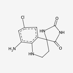 Nc1cc(Cl)cc2c1NCCC21NC(=O)NC1=O